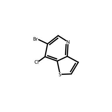 Clc1c(Br)cnc2ccsc12